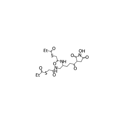 CCC(=O)SCC(=O)NCC(CCC(=O)C1CC(=O)N(O)C1=O)NC(=O)CSC(=O)CC